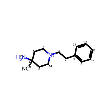 N#CC1(N)CCN(CCc2ccccc2)CC1